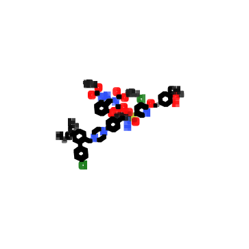 CC1(C)CCC(CN2CCN(c3ccc(C(=O)NS(=O)(=O)c4cnc(OC[C@H]5CC[C@@](C)(O)CC5)c(Cl)c4)c(Oc4cccc5c4c(N(C(=O)OC(C)(C)C)C(=O)OC(C)(C)C)nn5C(=O)OC(C)(C)C)c3)CC2)=C(c2ccc(Cl)cc2)C1